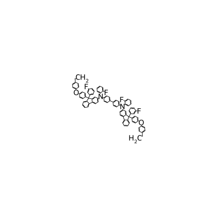 C=Cc1ccc(Oc2ccc(C3(c4cccc(F)c4)c4ccccc4-c4ccc(N(c5ccc(-c6ccc(N(c7ccc8c(c7)C(c7ccc(Oc9ccc(C=C)cc9)cc7)(c7cccc(F)c7)c7ccccc7-8)c7ccccc7F)cc6)cc5)c5ccccc5F)cc43)cc2)cc1